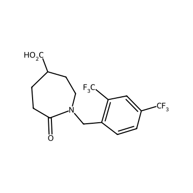 O=C(O)C1CCC(=O)N(Cc2ccc(C(F)(F)F)cc2C(F)(F)F)CC1